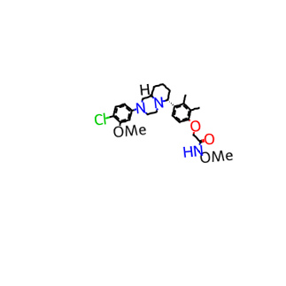 CONC(=O)COc1ccc([C@H]2CCC[C@H]3CN(c4ccc(Cl)c(OC)c4)CCN32)c(C)c1C